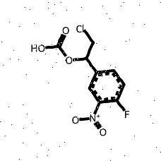 O=C(O)OC(CCl)c1ccc(F)c([N+](=O)[O-])c1